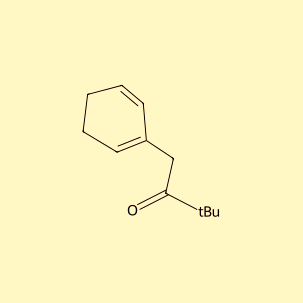 CC(C)(C)C(=O)CC1=CCCC=C1